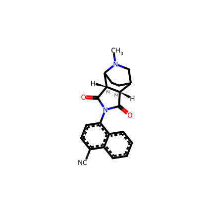 CN1CC2CCC1[C@H]1C(=O)N(c3ccc(C#N)c4ccccc34)C(=O)[C@@H]21